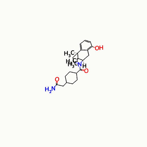 CC1(C)[C@H]2Cc3c(O)cccc3[C@]1(C)CCN2C(=O)C1CCC(CC(N)=O)CC1